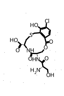 N[C@@H](CO)C(=O)N[C@H]1COC(=O)c2ccc(Cl)c(O)c2CSC[C@@H](C(=O)O)NC1=O